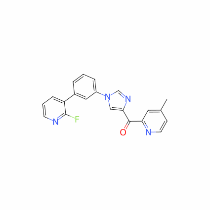 Cc1ccnc(C(=O)c2cn(-c3cccc(-c4cccnc4F)c3)cn2)c1